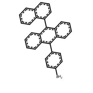 Bc1ccc(-c2c3ccccc3c(-c3cccc4ccccc34)c3ccccc23)cc1